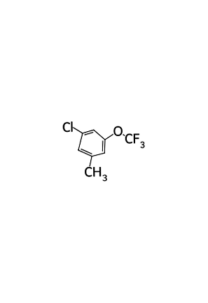 Cc1cc(Cl)cc(OC(F)(F)F)c1